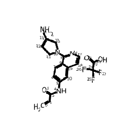 C=CC(=O)Nc1ccc2c(N3CCC(N)C3)nccc2c1.O=C(O)C(F)(F)F